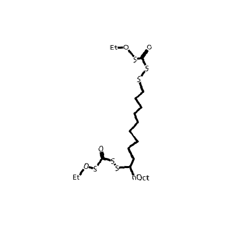 CCCCCCCCC(CCCCCCCCCSSC(=O)SOCC)SSC(=O)SOCC